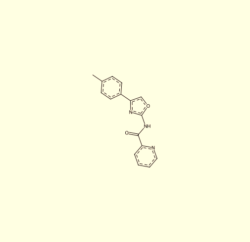 Cc1ccc(-c2coc(NC(=O)c3ccccn3)n2)cc1